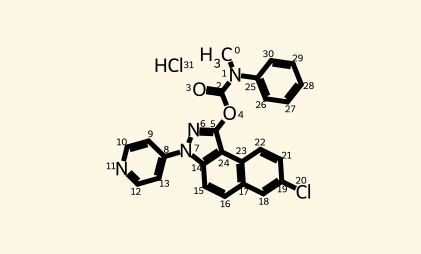 CN(C(=O)Oc1nn(-c2ccncc2)c2ccc3cc(Cl)ccc3c12)c1ccccc1.Cl